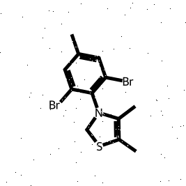 CC1=C(C)N(c2c(Br)cc(C)cc2Br)CS1